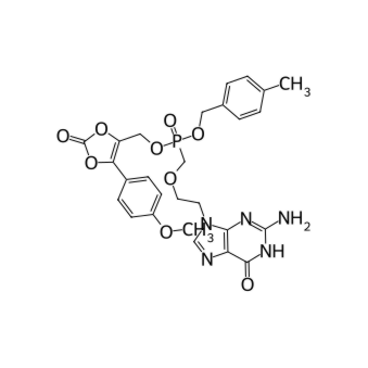 COc1ccc(-c2oc(=O)oc2COP(=O)(COCCn2cnc3c(=O)[nH]c(N)nc32)OCc2ccc(C)cc2)cc1